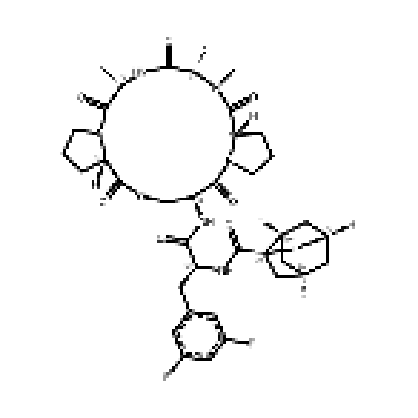 C[C@@H]1NC(=O)[C@H](C)N(C)C(=O)[C@@H]2CCCN2C(=O)[C@@H](NC(=O)[C@H](Cc2cc(F)cc(F)c2)NC(=O)[C@@]23C[C@@H]4C[C@@H](C[C@@H]2C4)C3)COC(=O)[C@@H]2CCCN2C1=O